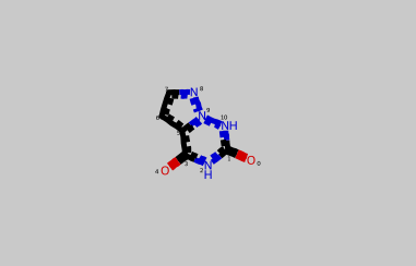 O=c1[nH]c(=O)c2ccnn2[nH]1